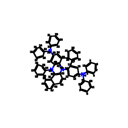 c1ccc(N(c2ccccc2)c2ccc3c(c2)-c2ccccc2-c2cc(N(c4ccccc4)c4ccccc4)cc4c2N3c2ccc3ccccc3c2N4c2ccccc2)cc1